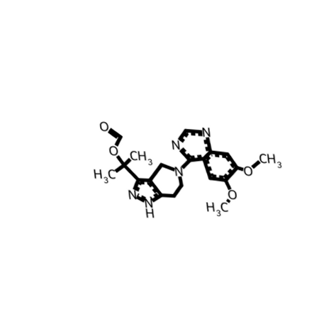 COc1cc2ncnc(N3CCc4[nH]nc(C(C)(C)OC=O)c4C3)c2cc1OC